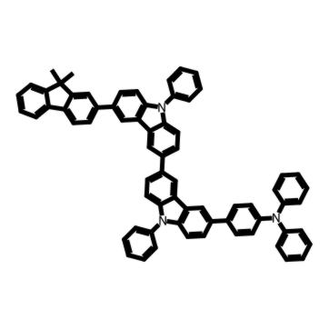 CC1(C)c2ccccc2-c2ccc(-c3ccc4c(c3)c3cc(-c5ccc6c(c5)c5cc(-c7ccc(N(c8ccccc8)c8ccccc8)cc7)ccc5n6-c5ccccc5)ccc3n4-c3ccccc3)cc21